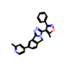 Cc1cc(-c2ccc3c(c2)-c2nnc(-c4c(-c5ccccc5)noc4C)n2C3)ccn1